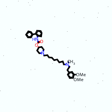 COc1ccc(CCN(C)CCCCCCCCCN2CCC(OC(=O)Nc3ccccc3-c3ccccc3)CC2)cc1OC